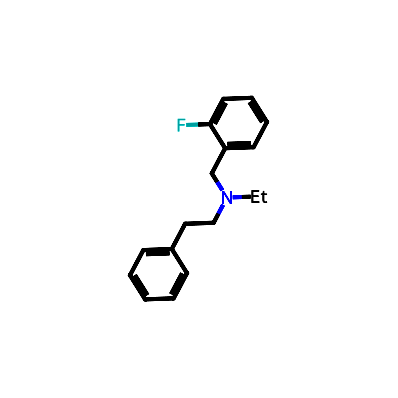 CCN(CCc1ccccc1)Cc1ccccc1F